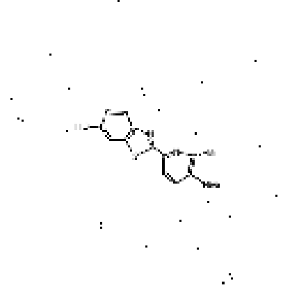 CNc1ccc(-c2nc3ccc(O)cc3s2)nc1Br